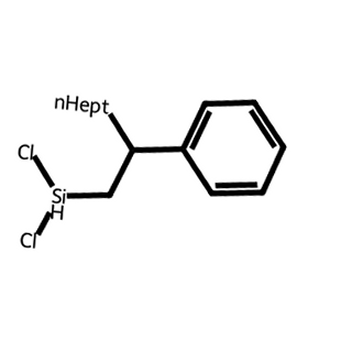 CCCCCCCC(C[SiH](Cl)Cl)c1ccccc1